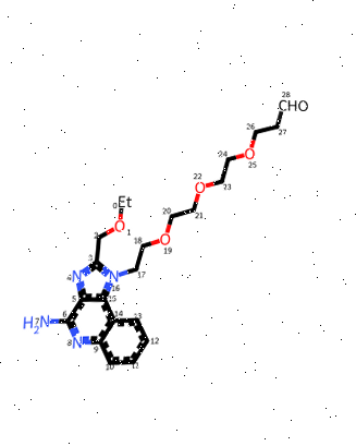 CCOCc1nc2c(N)nc3ccccc3c2n1CCOCCOCCOCCC=O